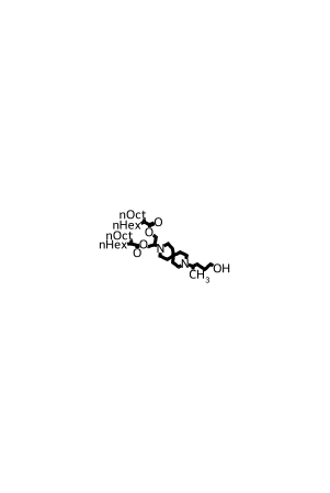 CCCCCCCCC(CCCCCC)C(=O)OCC(COC(=O)C(CCCCCC)CCCCCCCC)N1CCC2(CCN(C(C)CCCO)CC2)CC1